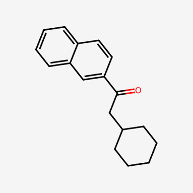 O=C(CC1CCCCC1)c1ccc2ccccc2c1